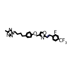 Cc1nnn(CCCCc2ccc(OCc3coc(/C=C/c4ccc(C(F)(F)F)cc4F)n3)cc2)n1